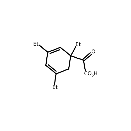 CCC1=CC(CC)(C(=O)C(=O)O)CC(CC)=C1